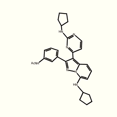 CC(=O)Nc1cccc(-c2nn3c(NC4CCCC4)cccc3c2-c2ccnc(NC3CCCC3)n2)c1